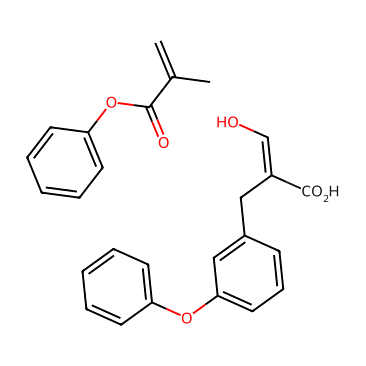 C=C(C)C(=O)Oc1ccccc1.O=C(O)/C(=C/O)Cc1cccc(Oc2ccccc2)c1